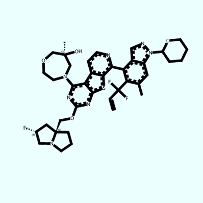 C=CC(F)(F)c1c(C)cc2c(cnn2C2CCCCO2)c1-c1nccc2c1sc1nc(OC[C@@]34CCCN3C[C@H](F)C4)nc(N3CCOC[C@@](C)(O)C3)c12